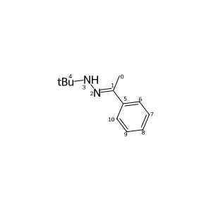 CC(=NNC(C)(C)C)c1ccccc1